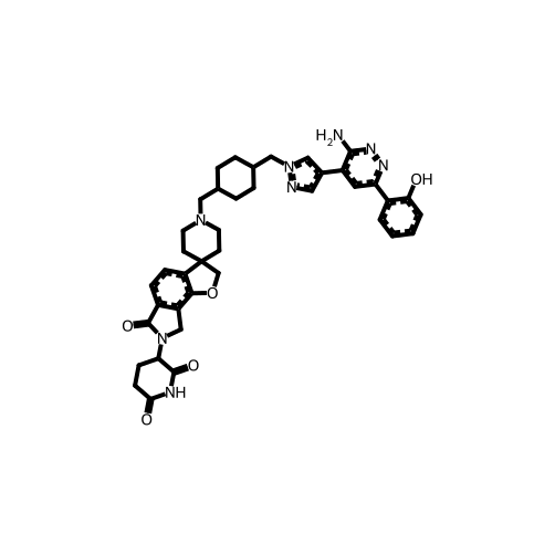 Nc1nnc(-c2ccccc2O)cc1-c1cnn(CC2CCC(CN3CCC4(CC3)COc3c4ccc4c3CN(C3CCC(=O)NC3=O)C4=O)CC2)c1